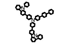 c1ccc(-c2ccc(-c3ccc(N(c4ccc(-c5ccc6c7ccccc7n(-c7ccccc7)c6c5)cc4)c4ccc(-c5ccc6c7cccc8c9ccccc9n(c6c5)c87)cc4)cc3)cc2)cc1